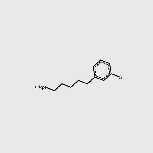 CCCCCCCCCCCCc1[c]ccc(Cl)c1